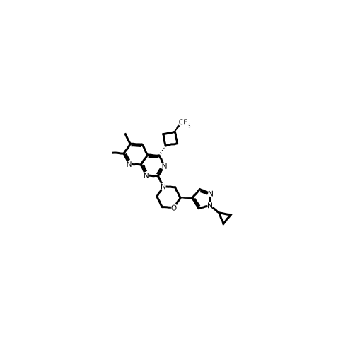 Cc1cc2c(nc(N3CCO[C@H](c4cnn(C5CC5)c4)C3)nc2[C@H]2C[C@H](C(F)(F)F)C2)nc1C